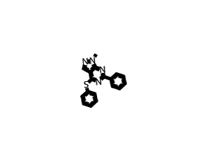 Cn1ncc2c(Sc3ccccc3)nc(-c3ccccc3)nc21